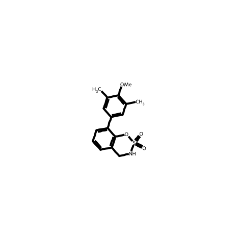 COc1c(C)cc(-c2cccc3c2OS(=O)(=O)NC3)cc1C